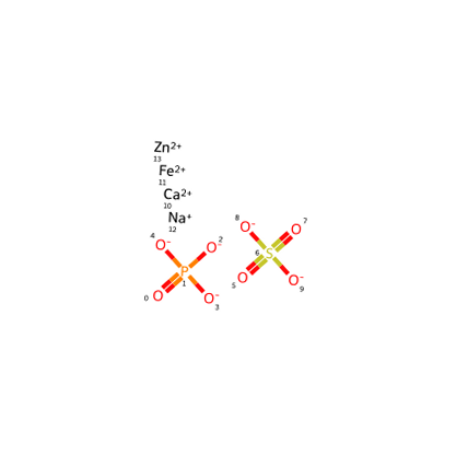 O=P([O-])([O-])[O-].O=S(=O)([O-])[O-].[Ca+2].[Fe+2].[Na+].[Zn+2]